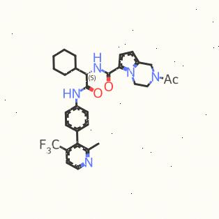 CC(=O)N1CCn2c(ccc2C(=O)N[C@H](C(=O)Nc2ccc(-c3c(C(F)(F)F)ccnc3C)cc2)C2CCCCC2)C1